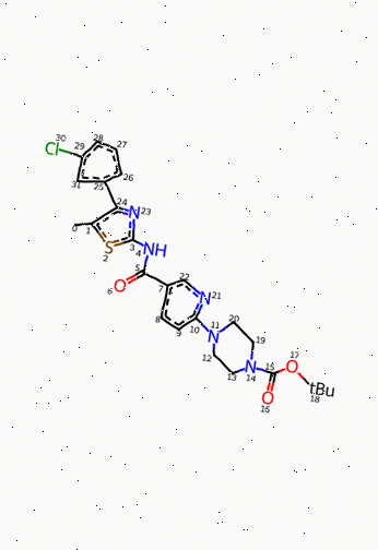 Cc1sc(NC(=O)c2ccc(N3CCN(C(=O)OC(C)(C)C)CC3)nc2)nc1-c1cccc(Cl)c1